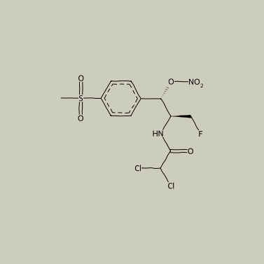 CS(=O)(=O)c1ccc([C@H](O[N+](=O)[O-])[C@@H](CF)NC(=O)C(Cl)Cl)cc1